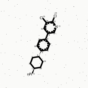 CCC[C@H]1CC[C@H](c2ccc(-c3cnc(Cl)c(Cl)c3)cc2)CC1